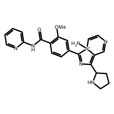 COc1cc(C2=NC(C3CCCN3)=C3C=NC=C[N+]23N)ccc1C(=O)Nc1ccccn1